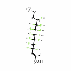 CC(=CC(F)(F)C(F)(F)C(F)(F)C(F)(F)C(F)(F)C(F)(F)C(F)CCC(F)(F)F)C(=O)O